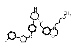 COCCCN1CCOc2ccc(CO[C@H]3CNCC[C@@H]3c3ccc(O[C@H]4CCN(c5cccc(F)c5)C4)cc3)cc21